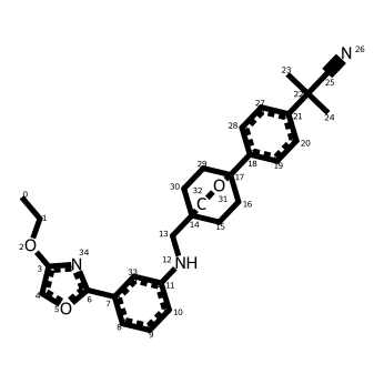 CCOc1coc(-c2cccc(NCC34CCC(c5ccc(C(C)(C)C#N)cc5)(CC3)OC4)c2)n1